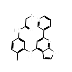 Cc1ccc(NC(=O)CN)cc1Nc1cc(-c2cccnc2)nc2[nH]ccc12